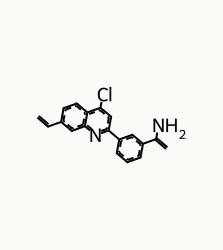 C=Cc1ccc2c(Cl)cc(-c3cccc(C(=C)N)c3)nc2c1